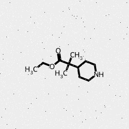 CCOC(=O)C(C)(C)C1CCNCC1